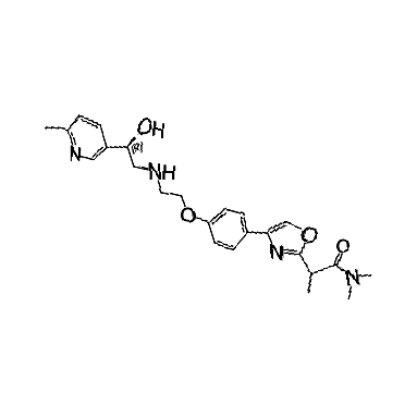 Cc1ccc([C@@H](O)CNCCOc2ccc(-c3coc(C(C)C(=O)N(C)C)n3)cc2)cn1